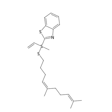 C=CS(C)(SCCCC=C(C)CCC=C(C)C)c1nc2ccccc2s1